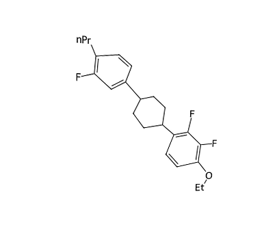 CCCc1ccc(C2CCC(c3ccc(OCC)c(F)c3F)CC2)cc1F